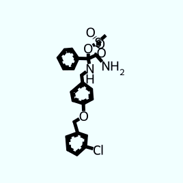 CS(=O)(=O)OC(NCc1ccc(OCc2cccc(Cl)c2)cc1)(C(N)=O)c1ccccc1